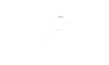 CP(=O)(O)OSc1cccc(Cl)c1